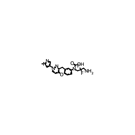 Cn1cc(-n2ccc(=O)c(Cc3cccc(N(CC(F)(F)CN)C(=O)O)c3)n2)cn1